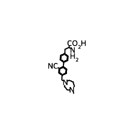 CN1CCCN(Cc2ccc(-c3ccc(CC(N)C(=O)O)cc3)c(C#N)c2)CC1